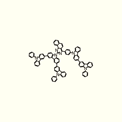 c1ccc(-n2c3ccccc3c3cc(-c4ccc5c(c4)c4ccccc4n5-c4ccc(-c5nc(-n6c7ccc(-c8ccc9c(c8)c8ccccc8n9-c8ccccc8)cc7c7cc(-c8ccc9c(c8)c8ccccc8n9-c8ccccc8)ccc76)nc6c5ccc5ccccc56)cc4)ccc32)cc1